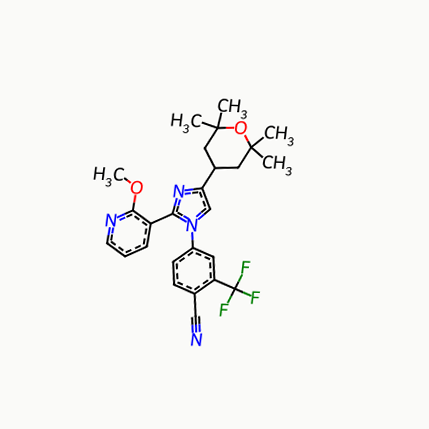 COc1ncccc1-c1nc(C2CC(C)(C)OC(C)(C)C2)cn1-c1ccc(C#N)c(C(F)(F)F)c1